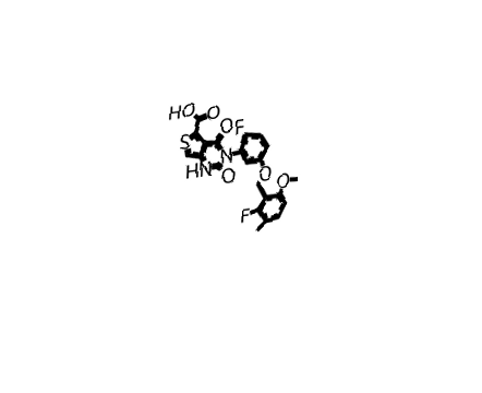 COc1ccc(C)c(F)c1COc1ccc(F)c(-n2c(=O)[nH]c3csc(C(=O)O)c3c2=O)c1